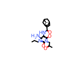 CCCn1c(N)c(NC(=O)C23CC4CC(CC2C4)C3)c(=O)n(CC(C)=O)c1=O